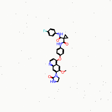 COc1cc2c(Oc3ccc(NC(=O)C4(C(=O)Nc5ccc(F)cc5)CC4)cc3)ccnc2cc1N1CCNC1=O